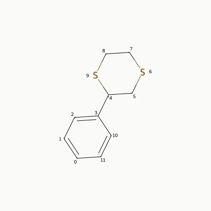 c1ccc([C]2CSCCS2)cc1